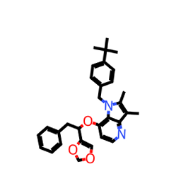 Cc1c(C)n(Cc2ccc(C(C)(C)C)cc2)c2c(OC(Cc3ccccc3)C3=COCO3)ccnc12